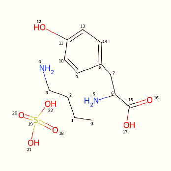 CCCCN.NC(Cc1ccc(O)cc1)C(=O)O.O=S(=O)(O)O